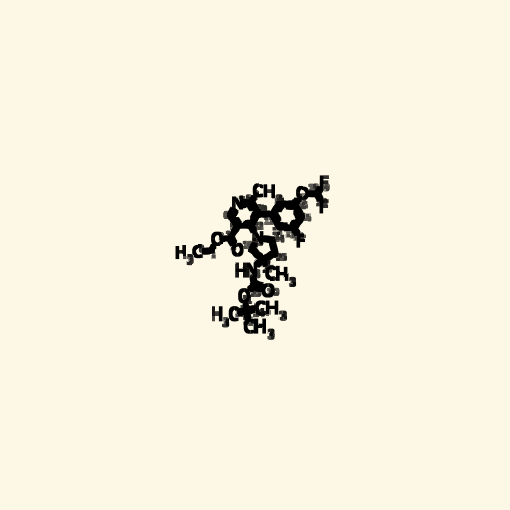 CCOC(=O)c1cnc(C)c(-c2cc(F)cc(OC(F)F)c2)c1N1CC[C@](C)(NC(=O)OC(C)(C)C)C1